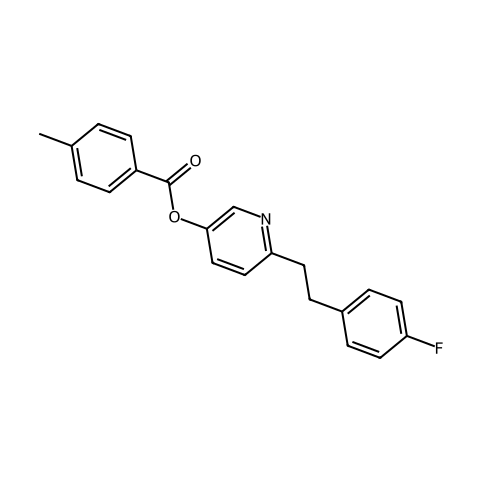 Cc1ccc(C(=O)Oc2ccc(CCc3ccc(F)cc3)nc2)cc1